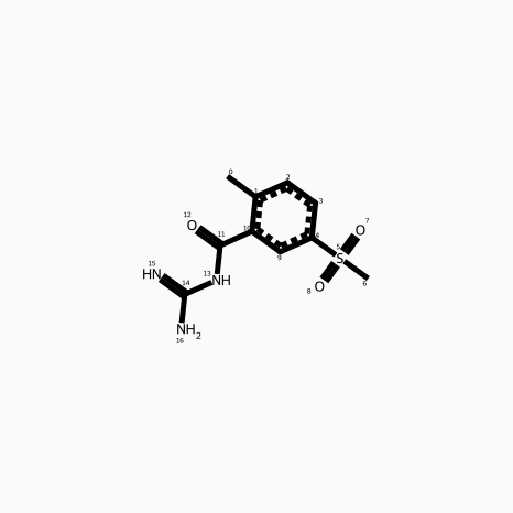 Cc1ccc(S(C)(=O)=O)cc1C(=O)NC(=N)N